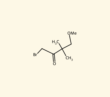 COCC(C)(C)C(=O)CBr